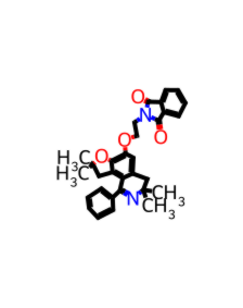 CC1(C)Cc2cc(OCCN3C(=O)c4ccccc4C3=O)c3c(c2C(c2ccccc2)=N1)CC(C)(C)O3